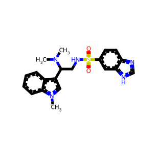 CN(C)C(CNS(=O)(=O)c1ccc2nc[nH]c2c1)c1cn(C)c2ccccc12